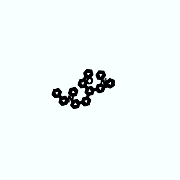 c1ccc(-c2cccc(N(c3ccccc3)c3cccc(-c4cccc(-c5cc(-c6ccc7c8ccccc8n(-c8ccccc8)c7c6)cc(-c6cccc7c6oc6ccccc67)c5)c4)c3)c2)cc1